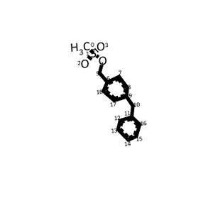 CS(=O)(=O)OCc1ccc(Cc2ccccc2)cc1